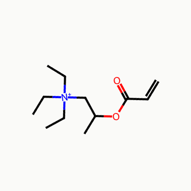 C=CC(=O)OC(C)C[N+](CC)(CC)CC